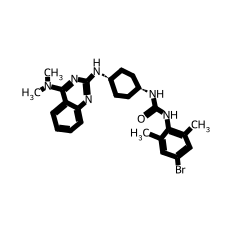 Cc1cc(Br)cc(C)c1NC(=O)N[C@H]1CC[C@@H](Nc2nc(N(C)C)c3ccccc3n2)CC1